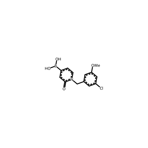 COc1cc(Cl)cc(Cn2ccc(B(O)O)cc2=O)c1